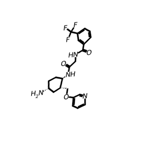 N[C@@H]1CC[C@H](NC(=O)CNC(=O)c2cccc(C(F)(F)F)c2)[C@H](COc2cccnc2)C1